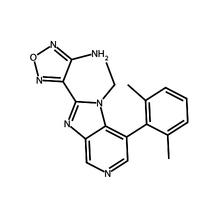 CCn1c(-c2nonc2N)nc2cncc(-c3c(C)cccc3C)c21